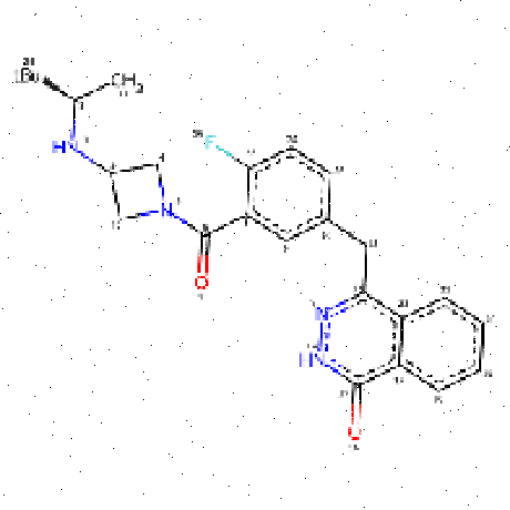 C[C@@H](NC1CN(C(=O)c2cc(Cc3n[nH]c(=O)c4ccccc34)ccc2F)C1)C(C)(C)C